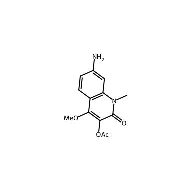 COc1c(OC(C)=O)c(=O)n(C)c2cc(N)ccc12